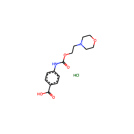 Cl.O=C(Nc1ccc(C(=O)O)cc1)OCCN1CCOCC1